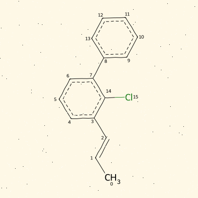 CC=Cc1cccc(-c2ccccc2)c1Cl